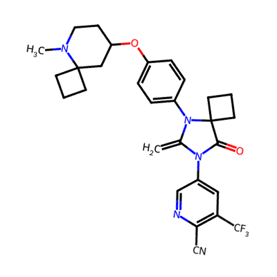 C=C1N(c2cnc(C#N)c(C(F)(F)F)c2)C(=O)C2(CCC2)N1c1ccc(OC2CCN(C)C3(CCC3)C2)cc1